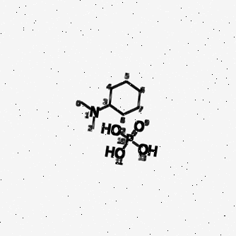 CN(C)C1CCCCC1.O=P(O)(O)O